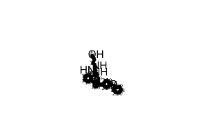 N=C(NCCCO)NC(=O)Cn1c(-c2ccccc2)ccc1-c1ccc(Oc2ccccc2)cc1